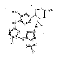 COc1cc(C2CCN(C)CC2)ccc1Nc1ncc(Cl)c(Nc2cn(C3CC3)nc2S(=O)(=O)C(C)C)n1